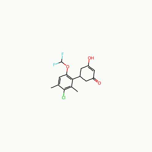 Cc1cc(OC(F)F)c(C2CC(=O)C=C(O)C2)c(C)c1Cl